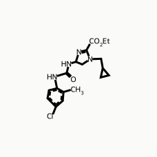 CCOC(=O)C1=NC(NC(=O)Nc2ccc(Cl)cc2C)CN1CC1CC1